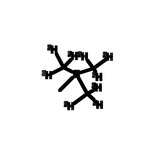 [2H]C([2H])([2H])[Si](C)(C([2H])([2H])[2H])C([2H])([2H])[2H]